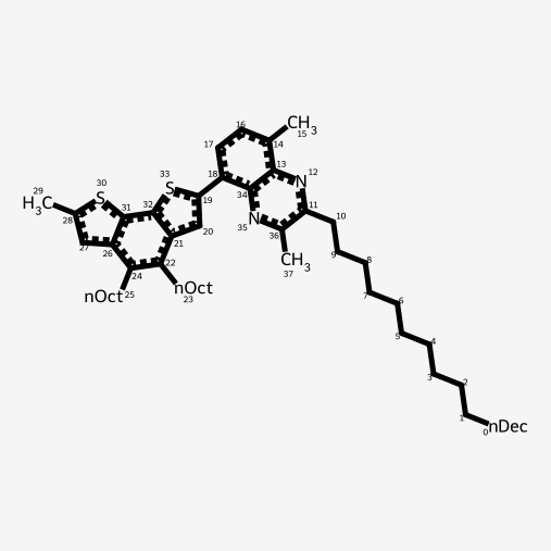 CCCCCCCCCCCCCCCCCCCCc1nc2c(C)ccc(-c3cc4c(CCCCCCCC)c(CCCCCCCC)c5cc(C)sc5c4s3)c2nc1C